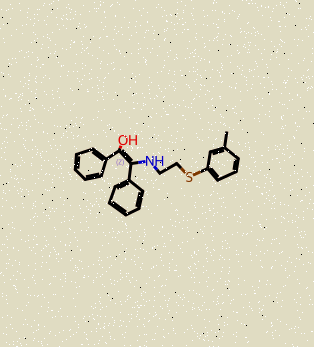 Cc1cccc(SCCN/C(=C(\O)c2ccccc2)c2ccccc2)c1